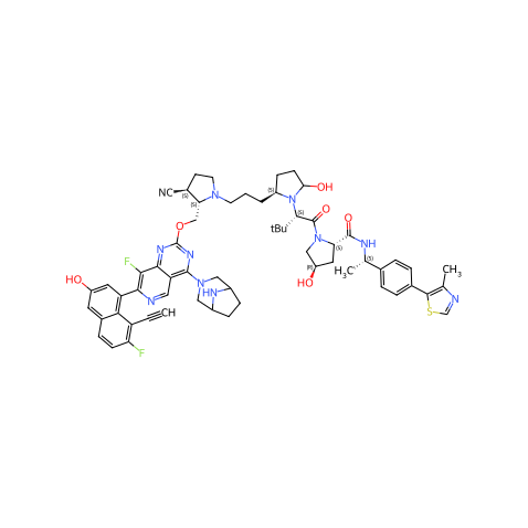 C#Cc1c(F)ccc2cc(O)cc(-c3ncc4c(N5CC6CCC(C5)N6)nc(OC[C@@H]5[C@@H](C#N)CCN5CCC[C@H]5CCC(O)N5[C@H](C(=O)N5C[C@H](O)C[C@H]5C(=O)N[C@@H](C)c5ccc(-c6scnc6C)cc5)C(C)(C)C)nc4c3F)c12